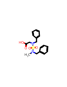 CN(Cc1ccccc1)S(=O)(=O)N(CC(=O)O)Cc1ccccc1